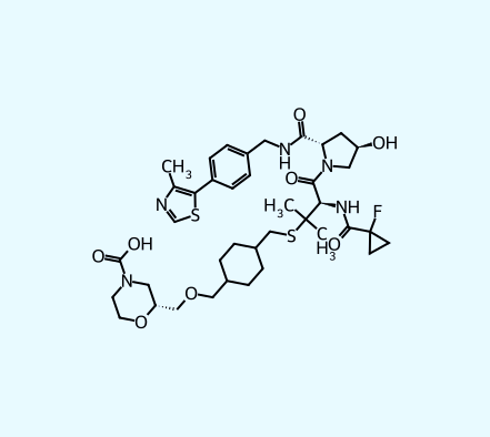 Cc1ncsc1-c1ccc(CNC(=O)[C@@H]2C[C@@H](O)CN2C(=O)[C@@H](NC(=O)C2(F)CC2)C(C)(C)SCC2CCC(COC[C@H]3CN(C(=O)O)CCO3)CC2)cc1